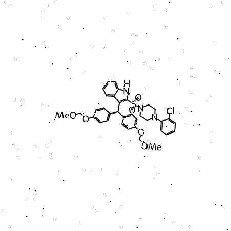 COCOc1ccc(C(c2ccc(OCOC)cc2)c2c(S(=O)(=O)N3CCN(c4ccccc4Cl)CC3)[nH]c3ccccc23)cc1